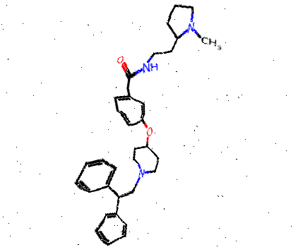 CN1CCCC1CCNC(=O)c1cccc(OC2CCN(CC(c3ccccc3)c3ccccc3)CC2)c1